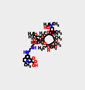 CC[C@H]1OC(=O)[C@H](C)[C@@H](O[C@H]2C[C@@](C)(OC)[C@@H](OS(=O)(=O)CCNCCNc3cc4c5c(c3)c(=O)c(C(=O)O)cn5C(C)CC4)[C@H](C)O2)[C@H](C)[C@@H](O[C@@H]2O[C@H](C)C[C@H](N(C)C)[C@H]2O)[C@](C)(OC)C[C@@H](C)C(=O)[C@H](C)[C@@H](O)[C@]1(C)O